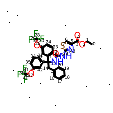 CCOC(=O)c1csc(NC(=O)NC(Cc2ccccc2)(c2cccc(OC(F)(F)F)c2)c2cccc(OC(F)(F)F)c2)n1